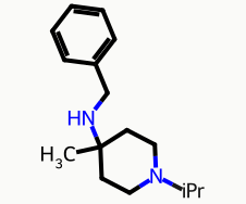 CC(C)N1CCC(C)(NCc2ccccc2)CC1